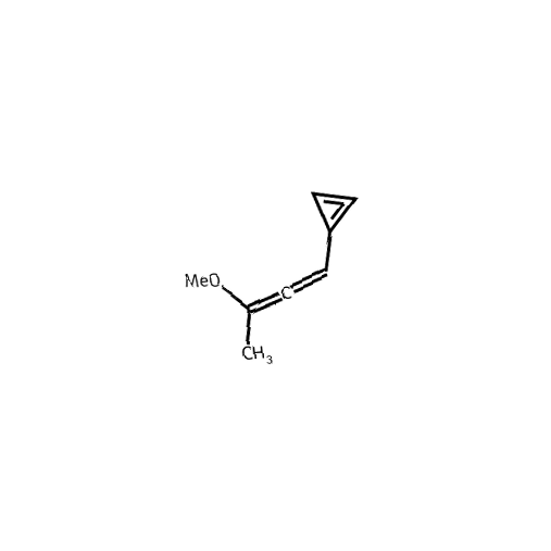 COC(C)=C=CC1=C=C1